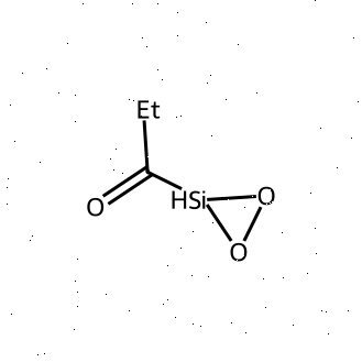 CCC(=O)[SiH]1OO1